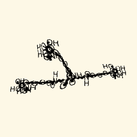 CC(=O)N[C@H]1[C@H](OCCOCCOCCOCC(=O)NCCCC[C@H](NC(=O)COCCOCCOCCO[C@@H]2O[C@H](CO)[C@H](O)[C@H](O)[C@H]2NC(C)=O)C(=O)N[C@H](C=O)CCCCNC(=O)COCCOCCOCCO[C@@H]2O[C@H](CO)[C@H](O)[C@H](O)[C@H]2NC(C)O)O[C@H](CO)[C@H](O)[C@@H]1O